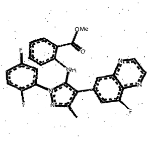 COC(=O)c1ccccc1Nc1c(-c2cc(F)c3nccnc3c2)c(C)nn1-c1cc(F)ccc1F